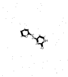 O=c1nc(N=NC2C=CC=CO2)cc[nH]1